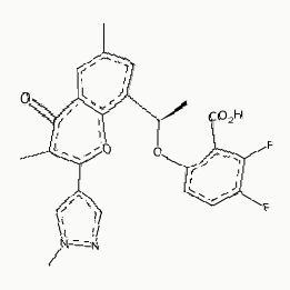 Cc1cc([C@@H](C)Oc2ccc(F)c(F)c2C(=O)O)c2oc(-c3cnn(C)c3)c(C)c(=O)c2c1